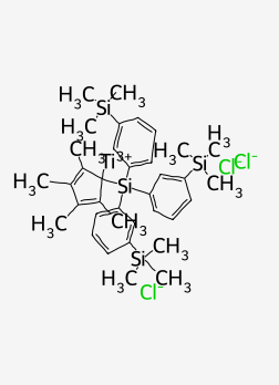 CC1=C(C)[C]([Ti+3])([Si](c2cccc([Si](C)(C)C)c2)(c2cccc([Si](C)(C)C)c2)c2cccc([Si](C)(C)C)c2)C(C)=C1C.[Cl-].[Cl-].[Cl-]